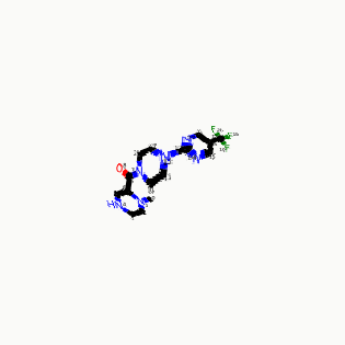 CN1CCNCC1C(=O)N1CCN(c2ncc(C(F)(F)F)cn2)CC1